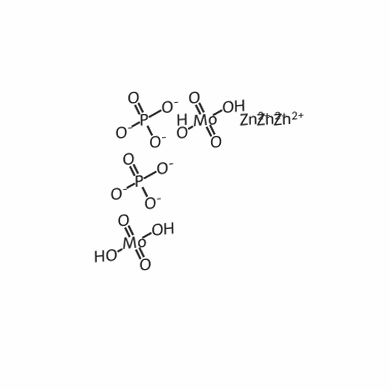 O=P([O-])([O-])[O-].O=P([O-])([O-])[O-].[O]=[Mo](=[O])([OH])[OH].[O]=[Mo](=[O])([OH])[OH].[Zn+2].[Zn+2].[Zn+2]